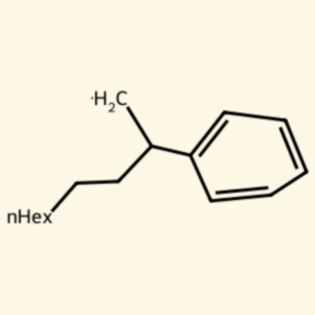 [CH2]CCCCCCCC([CH2])c1ccccc1